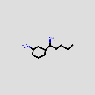 CCCCC(N)C1CCCC(N)C1